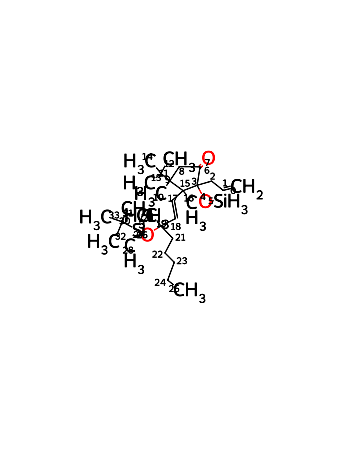 C=CCC1(O[SiH3])C(=O)CC(C)(C(C)(C)C)C1(C)C=CC(C)(CCCCC)O[Si](C)(C)C(C)(C)C